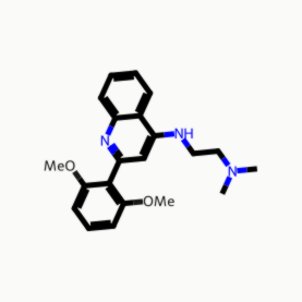 COc1cccc(OC)c1-c1cc(NCCN(C)C)c2ccccc2n1